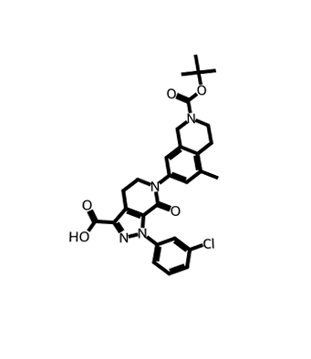 Cc1cc(N2CCc3c(C(=O)O)nn(-c4cccc(Cl)c4)c3C2=O)cc2c1CCN(C(=O)OC(C)(C)C)C2